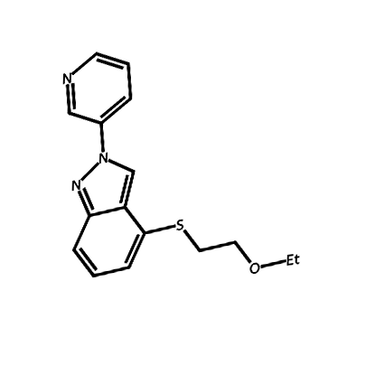 CCOCCSc1cccc2nn(-c3cccnc3)cc12